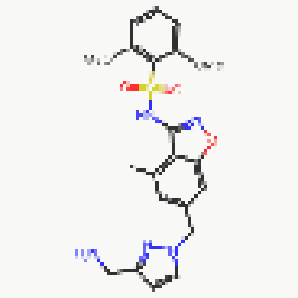 COc1cccc(OC)c1S(=O)(=O)Nc1noc2cc(Cn3ccc(CN)n3)cc(C)c12